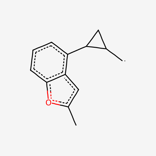 [CH2]C1CC1c1cccc2oc(C)cc12